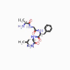 CC(C)C[C@H](NC(=O)[C@H](Cc1ccccc1)NC(=O)CNC(=O)[C@@H](C)N)C(N)=O